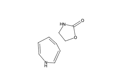 C1=CC=CNC=C1.O=C1NCCO1